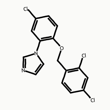 Clc1ccc(COc2ccc(Cl)cc2-n2ccnc2)c(Cl)c1